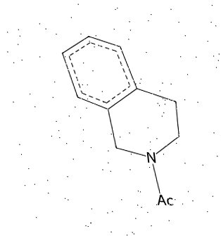 CC(=O)N1CCc2ccccc2C1